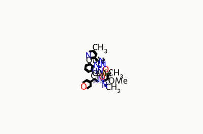 C=N/C(=N\C=C(/C)C1=CCOCC1)[C@@H](OC)[C@H](C)S(=O)(=O)Nc1nnc(-c2cncc(C)c2)n1-c1c(OC)cccc1OC